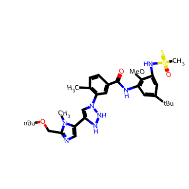 CCCCOCc1ncc(C2=CN(c3cc(C(=O)Nc4cc(C(C)(C)C)cc(NS(C)(=O)=S)c4OC)ccc3C)NN2)n1C